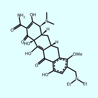 CCN(CC)Cc1cc(O)c2c(c1OC)C[C@H]1C[C@H]3[C@H](N(C)C)C(O)=C(C(N)=O)C(=O)[C@@]3(O)C(O)=C1C2=O